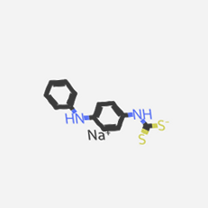 S=C([S-])Nc1ccc(Nc2ccccc2)cc1.[Na+]